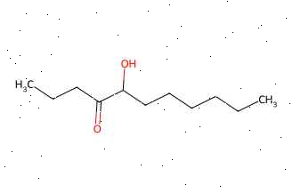 CCCCCCC(O)C(=O)CCC